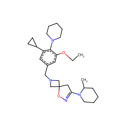 CCOc1cc(CN2CC3(CC(N4CCCCC4C)=NO3)C2)cc(C2CC2)c1N1CCCCC1